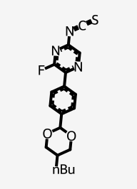 CCCCC1COC(c2ccc(-c3ncc(N=C=S)nc3F)cc2)OC1